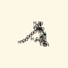 CCCOCCOCCOCCOCCOCCOCCC(=O)N[C@H](C(=O)N[C@@H](CCCNC(N)=O)C(=O)Nc1ccc(-n2ccnc2COC(=O)N[C@H]2CCc3c(C)c(F)cc4nc5c(c2c34)Cn2c-5cc3c(c2=O)COC(=O)[C@]3(O)CC)cc1)C(C)C